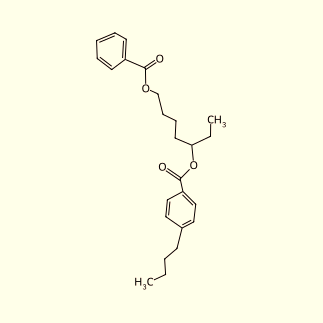 CCCCc1ccc(C(=O)OC(CC)CCCCOC(=O)c2ccccc2)cc1